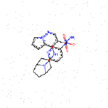 NC(=O)c1cnn2cccc2c1NC1CC2CCC(C1)N2c1ccc([N+](=O)[O-])cn1